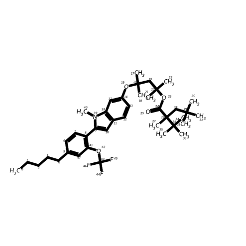 CCCCCc1ccc(-c2cc3ccc(OC(C)(C)CC(C)(C)OC(=O)C(C)(CC(C)(C)C)C(C)(C)C)cc3n2C)c(OC(F)(F)F)c1